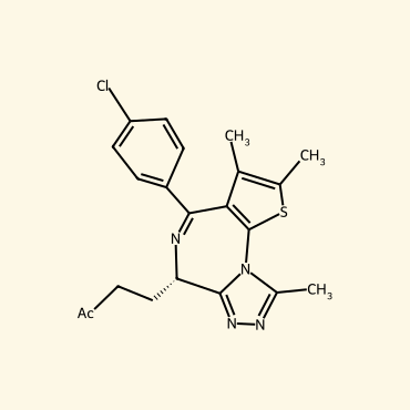 CC(=O)CC[C@@H]1N=C(c2ccc(Cl)cc2)c2c(sc(C)c2C)-n2c(C)nnc21